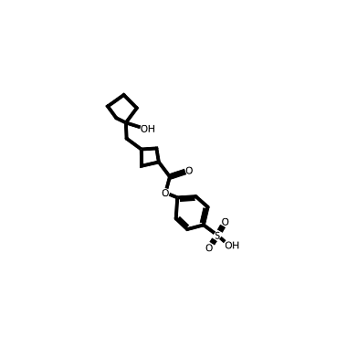 O=C(Oc1ccc(S(=O)(=O)O)cc1)C1CC(CC2(O)CCCC2)C1